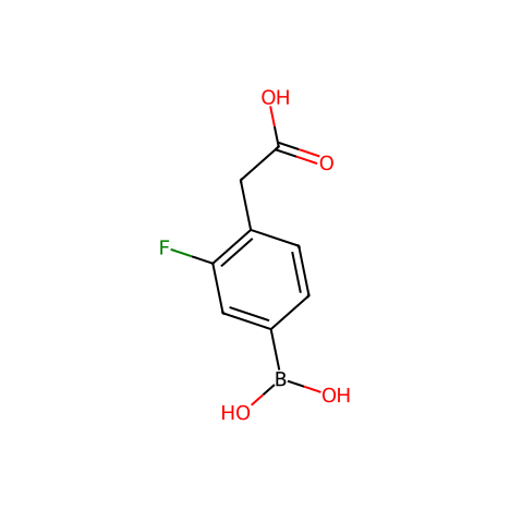 O=C(O)Cc1ccc(B(O)O)cc1F